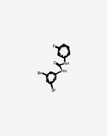 O=C(Nc1cccc(F)c1)Nc1cc(Br)cc(Br)c1